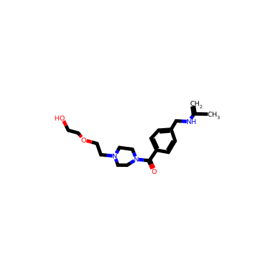 C=C(C)NCc1ccc(C(=O)N2CCN(CCOCCO)CC2)cc1